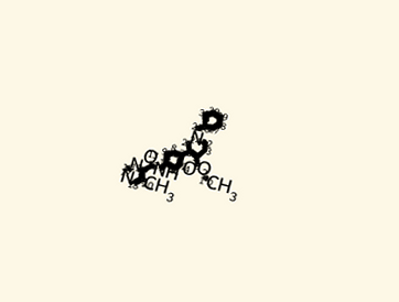 CCOC(=O)C1=C(c2ccc(NC(=O)c3ncncc3C)cc2)CN(Cc2ccccc2)CC1